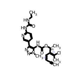 C#C/C=C\C(=C(/C)Cl)[C@@H](C)OC(=O)Nc1c(-c2ccc(NC(=O)NCC)nc2)nnn1C